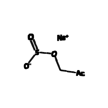 CC(=O)COS(=O)[O-].[Na+]